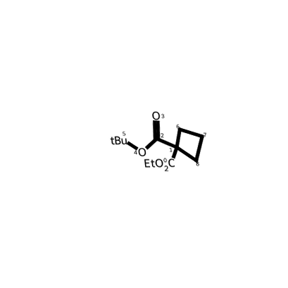 CCOC(=O)C1(C(=O)OC(C)(C)C)CCC1